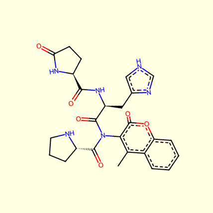 Cc1c(N(C(=O)[C@@H]2CCCN2)C(=O)[C@H](Cc2c[nH]cn2)NC(=O)[C@@H]2CCC(=O)N2)c(=O)oc2ccccc12